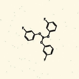 Fc1cccc(OB(Oc2cccc(F)c2)Oc2cccc(F)c2)c1